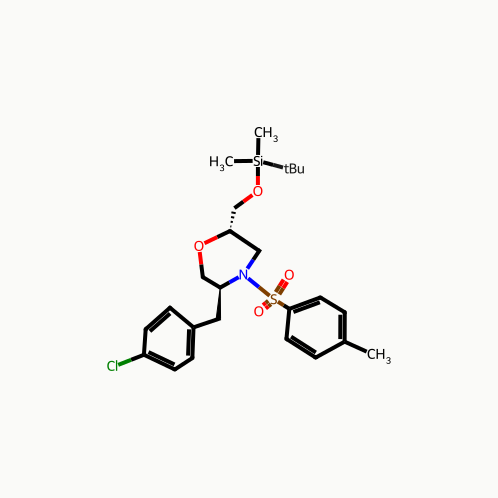 Cc1ccc(S(=O)(=O)N2C[C@@H](CO[Si](C)(C)C(C)(C)C)OC[C@@H]2Cc2ccc(Cl)cc2)cc1